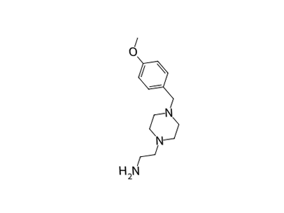 COc1ccc(CN2CCN(CCN)CC2)cc1